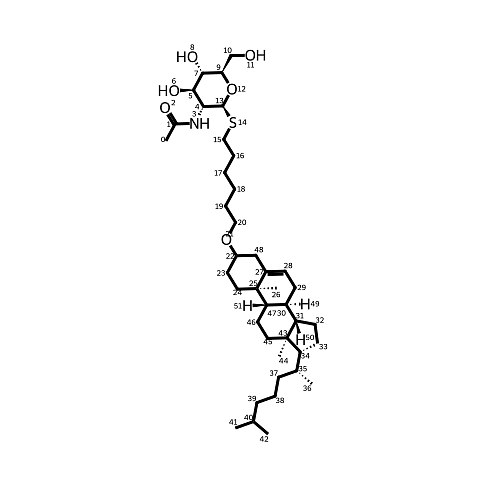 CC(=O)N[C@@H]1[C@@H](O)[C@H](O)[C@@H](CO)O[C@H]1SCCCCCCOC1CC[C@@]2(C)C(=CC[C@H]3[C@@H]4CC[C@H]([C@H](C)CCCC(C)C)[C@@]4(C)CC[C@@H]32)C1